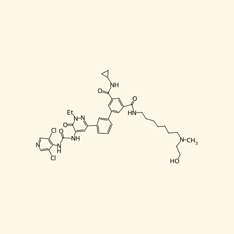 CCn1nc(-c2cccc(-c3cc(C(=O)NCCCCCCCN(C)CCO)cc(C(=O)NC4CC4)c3)c2)cc(NC(=O)Nc2c(Cl)cncc2Cl)c1=O